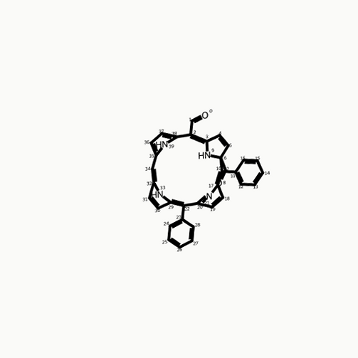 O=C/C1=C2\C=CC(C=O)(N2)/C(c2ccccc2)=C2/C=CC(=N2)/C(c2ccccc2)=c2/cc/c([nH]2)=C/c2ccc1[nH]2